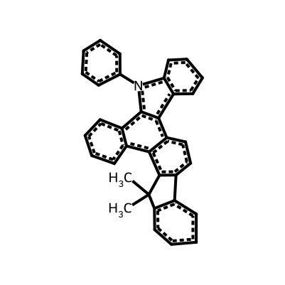 CC1(C)c2ccccc2-c2ccc3c(c21)c1ccccc1c1c3c2ccccc2n1-c1ccccc1